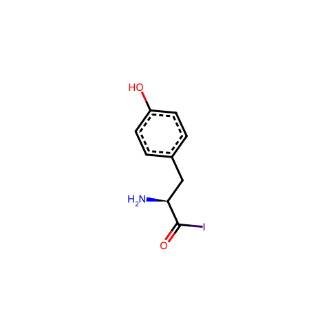 N[C@@H](Cc1ccc(O)cc1)C(=O)I